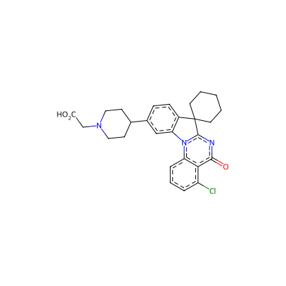 O=C(O)CN1CCC(c2ccc3c(c2)-n2c(nc(=O)c4c(Cl)cccc42)C32CCCCC2)CC1